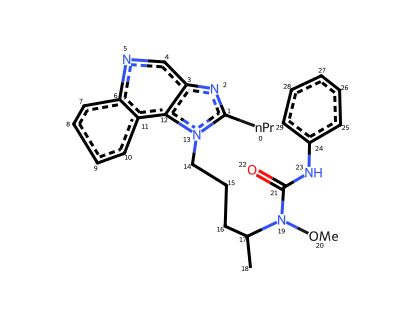 CCCc1nc2cnc3ccccc3c2n1CCCC(C)N(OC)C(=O)Nc1ccccc1